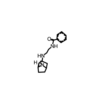 CN1C2CCC1CC(NCCNC(=O)c1ccccc1)C2